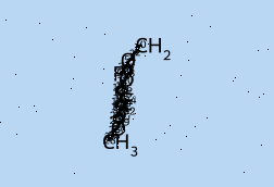 C=CCCCOc1ccc(OCC2CCC(c3ccc(C4CCC(OCCCC)CC4)c(F)c3F)CC2)c(F)c1